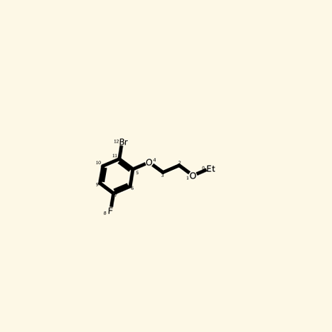 CCOCCOc1cc(F)ccc1Br